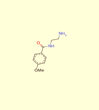 COc1ccc(C(=O)NCCN)cc1